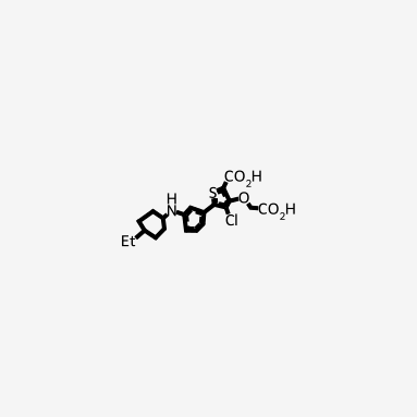 CCC1CCC(Nc2cccc(-c3sc(C(=O)O)c(OCC(=O)O)c3Cl)c2)CC1